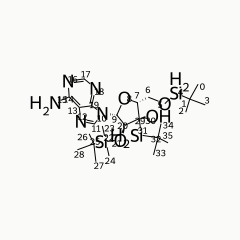 CC(C)(C)[SiH2]OC[C@H]1O[C@@H](n2cnc3c(N)ncnc32)[C@H](O[Si](C)(C)C(C)(C)C)[C@@]1(O)[SiH2]C(C)(C)C